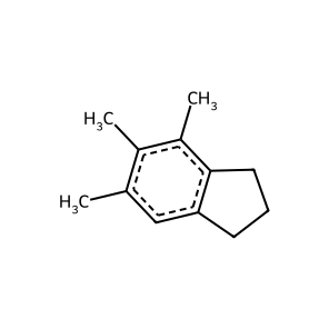 Cc1cc2c(c(C)c1C)CCC2